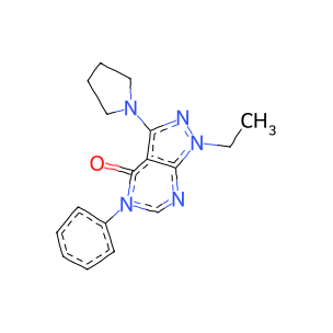 CCn1nc(N2CCCC2)c2c(=O)n(-c3ccccc3)cnc21